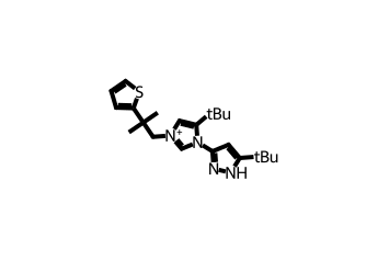 CC(C)(C)c1cc(-n2c[n+](CC(C)(C)c3cccs3)cc2C(C)(C)C)n[nH]1